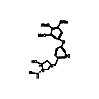 COc1cc(Oc2ccc(C[C@H]3C[C@H](NC(C)(C)C)[C@@H](O)C3)cc2)cc(OC)c1OC.Cl